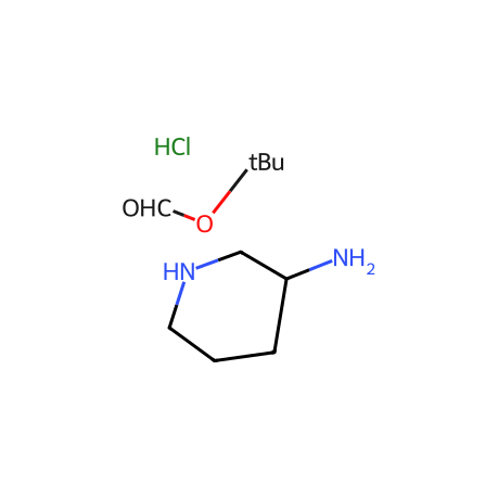 CC(C)(C)OC=O.Cl.NC1CCCNC1